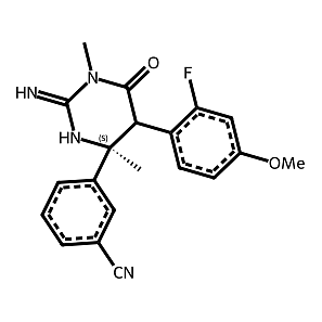 COc1ccc(C2C(=O)N(C)C(=N)N[C@]2(C)c2cccc(C#N)c2)c(F)c1